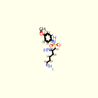 COc1ccc(NS(=O)(=O)CC([NH])CCCCN)cc1